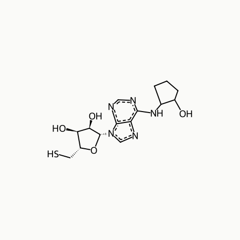 OC1CCCC1Nc1ncnc2c1ncn2[C@@H]1O[C@H](CS)[C@@H](O)[C@H]1O